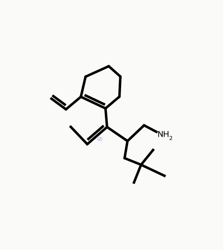 C=CC1=C(/C(=C\C)C(CN)CC(C)(C)C)CCCC1